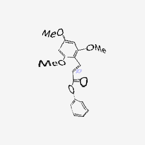 COc1cc(OC)c(/C=C/C(=O)Oc2ccccc2)c(OC)c1